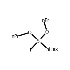 CCCCCC[Si](I)(OCCC)OCCC